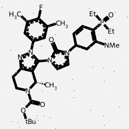 CCP(=O)(CC)C1=C(NC)CC(n2ccn(-c3c4c(nn3-c3cc(C)c(F)c(C)c3)CCN(C(=O)OC(C)(C)C)[C@H]4C)c2=O)C=C1